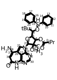 CC(C)C(=O)OC1C(C(O[SiH](c2ccccc2)c2ccccc2)C(C)(C)C)OC(n2cc3c4c(ncnc42)NC(=O)C=C3N)C1(C)O